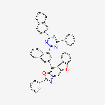 c1ccc(-c2nc(-c3ccc4ccccc4c3)nc(-c3cc(-c4c5oc(-c6ccccc6)nc5cc5oc6ccccc6c45)cc4ccccc34)n2)cc1